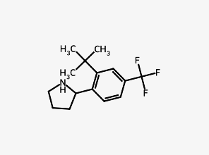 CC(C)(C)c1cc(C(F)(F)F)ccc1C1CCCN1